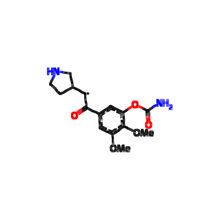 COc1cc(C(=O)[CH]C2CCNC2)cc(OC(N)=O)c1OC